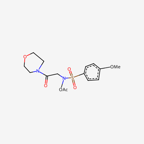 COc1ccc(S(=O)(=O)N(CC(=O)N2CCOCC2)OC(C)=O)cc1